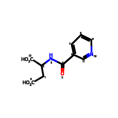 O=C(O)CC(NC(=O)c1cccnc1)C(=O)O